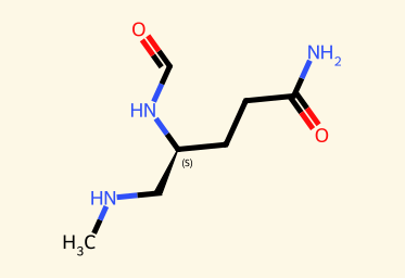 CNC[C@H](CCC(N)=O)NC=O